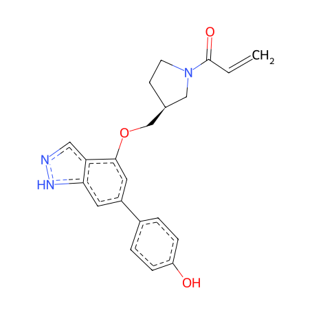 C=CC(=O)N1CC[C@H](COc2cc(-c3ccc(O)cc3)cc3[nH]ncc23)C1